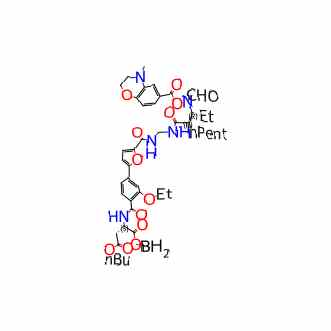 BOC(=O)[C@H](CC(=O)OCCCC)NC(=O)c1ccc(-c2ccc(C(=O)NCNC(=O)[C@H](CCCCC)[C@@H](CC)N(C=O)OC(=O)c3ccc4c(c3)N(C)CCO4)o2)cc1OCC